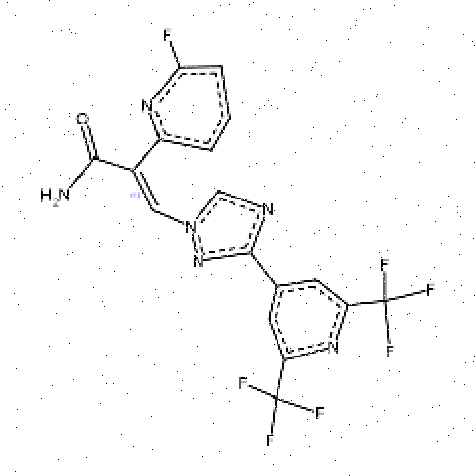 NC(=O)/C(=C/n1cnc(-c2cc(C(F)(F)F)nc(C(F)(F)F)c2)n1)c1cccc(F)n1